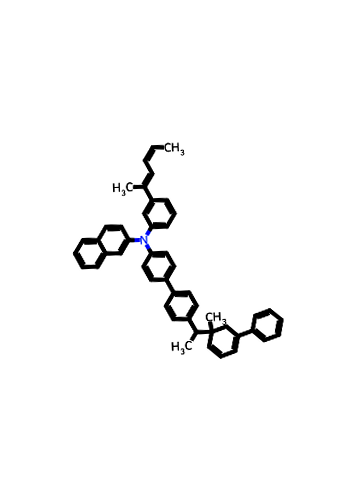 C/C=C\C=C(/C)c1cccc(N(c2ccc(-c3ccc(C(C)C4(C)C=CC=C(c5ccccc5)C4)cc3)cc2)c2ccc3ccccc3c2)c1